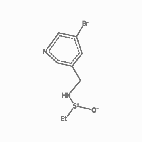 CC[S+]([O-])NCc1cncc(Br)c1